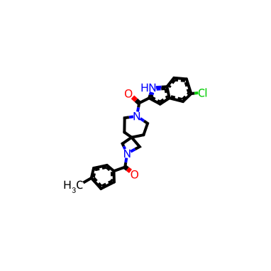 Cc1ccc(C(=O)N2CC3(CCN(C(=O)c4cc5cc(Cl)ccc5[nH]4)CC3)C2)cc1